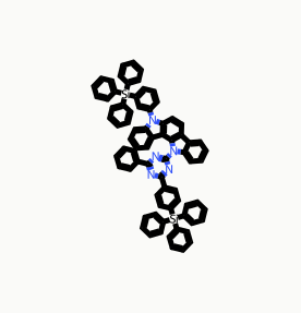 c1ccc(-c2nc(-c3ccc([Si](c4ccccc4)(c4ccccc4)c4ccccc4)cc3)nc(-n3c4ccccc4c4ccc5c(c6ccccc6n5-c5cccc([Si](c6ccccc6)(c6ccccc6)c6ccccc6)c5)c43)n2)cc1